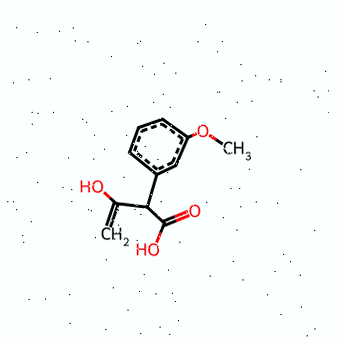 C=C(O)C(C(=O)O)c1cccc(OC)c1